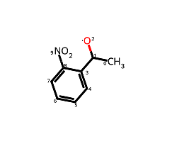 CC([O])c1ccccc1[N+](=O)[O-]